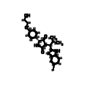 CC(C)[C@@H](c1nc2cc(I)ccc2[nH]1)N1C(=O)N[C@H](c2ccc(OCCO)cc2)C1=O